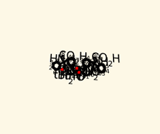 CC(C)(C)c1cccc([C@@]2(NC(=O)O)C(=O)N3CCC(C(N)=O)[C@@]3(C#CC34c5ccc(cc5)C(NC(=O)O)(c5ccccc5)C(=O)N3CCC4C(N)=O)c3ccc2cc3)c1C(C)(C)C